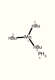 CCC[CH2][Mn]([CH2]CCC)[CH2]CCC.P